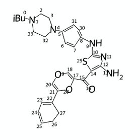 CCC(C)N1CCN(c2ccc(Nc3nc(N)c(C(=O)C4=COC=C(C5=CC=CCC5)O4)s3)cc2)CC1